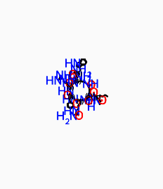 CCCC[C@H](NC(C)=O)C(=O)N[C@H]1CCC(=O)NCC[C@@H](C(=O)N[C@@H](Cc2c[nH]c3ccccc23)C(N)=O)NC(=O)[C@H](CCCNC(=N)N)NC(=O)[C@@H](Cc2ccccc2)NC(=O)[C@H](CCCNC(N)=O)NC1=O